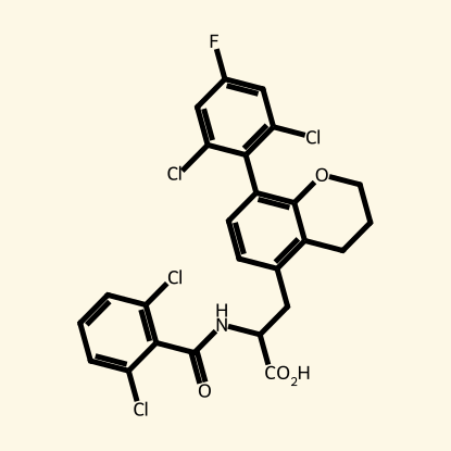 O=C(NC(Cc1ccc(-c2c(Cl)cc(F)cc2Cl)c2c1CCCO2)C(=O)O)c1c(Cl)cccc1Cl